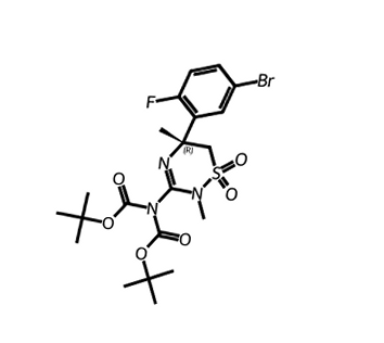 CN1C(N(C(=O)OC(C)(C)C)C(=O)OC(C)(C)C)=N[C@](C)(c2cc(Br)ccc2F)CS1(=O)=O